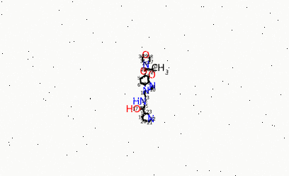 C[C@H](Oc1cccc2c1ncn2CCNC[C@H](O)c1cccnc1)C(=O)N1CCOCC1